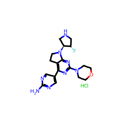 Cl.Nc1ncc(-c2nc(N3CCOCC3)nc3c2CCN3[C@H]2CNC[C@@H]2F)cn1